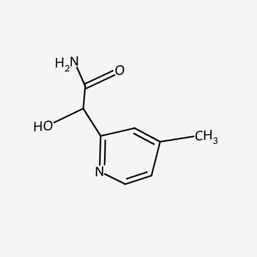 Cc1ccnc(C(O)C(N)=O)c1